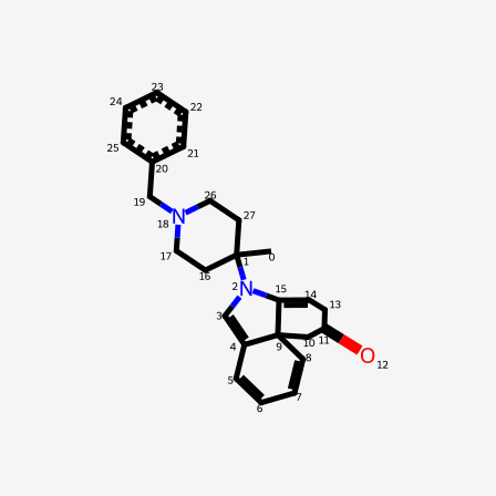 CC1(N2C=C3C=CC=CC34CC(=O)CC=C24)CCN(Cc2ccccc2)CC1